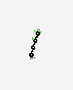 CCCc1ccc(CC[C@H]2CC[C@H](CCc3ccc(CCc4cc(F)c(Cl)c(F)c4)c(F)c3)CC2)cc1